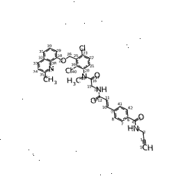 C#CCNC(=O)c1ccc(C=CC(=O)NCC(=O)N(C)c2ccc(Cl)c(COc3cccc4ccc(C)nc34)c2Cl)cc1